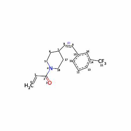 C=CC(=O)N1CCC(/C=C\c2cccc(C(F)(F)F)c2)CC1